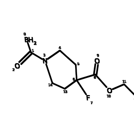 BC(=O)N1CCC(F)(C(=O)OCC)CC1